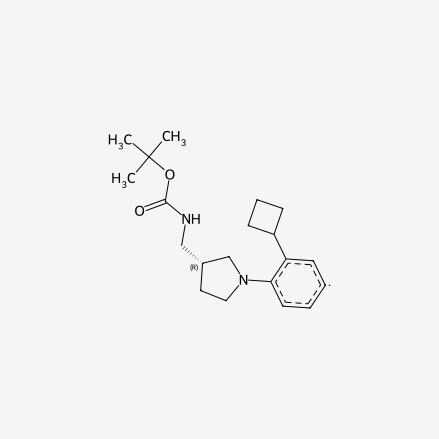 CC(C)(C)OC(=O)NC[C@H]1CCN(c2cc[c]cc2C2CCC2)C1